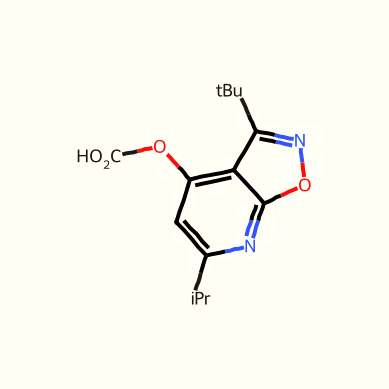 CC(C)c1cc(OC(=O)O)c2c(C(C)(C)C)noc2n1